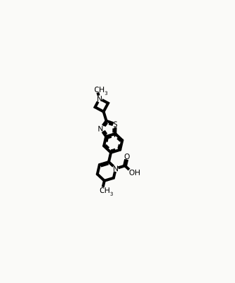 CC1CC=C(c2ccc3sc(C4CN(C)C4)nc3c2)N(C(=O)O)C1